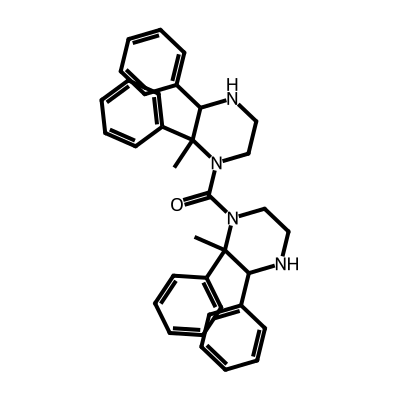 CC1(c2ccccc2)C(c2ccccc2)NCCN1C(=O)N1CCNC(c2ccccc2)C1(C)c1ccccc1